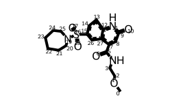 COCCNC(=O)c1cc(=O)[nH]c2ccc(S(=O)(=O)N3CCCCCC3)cc12